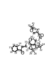 C[C@@H]([C@@H]1O[C@H]1C[C@H]1CO[C@@H](C[C@H](C)[C@H]2Cc3ccccc3C2=O)[C@@H](O[Si](C)(C)C)[C@@H]1O[Si](C)(C)C)[C@H](C)O[Si](C)(C)C